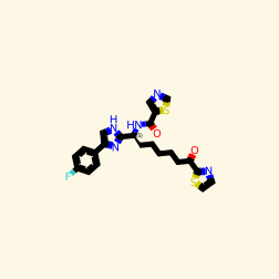 O=C(N[C@@H](CCCCCC(=O)c1nccs1)c1nc(-c2ccc(F)cc2)c[nH]1)c1cncs1